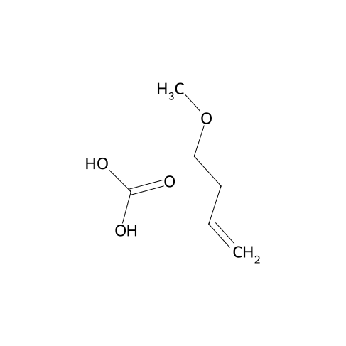 C=CCCOC.O=C(O)O